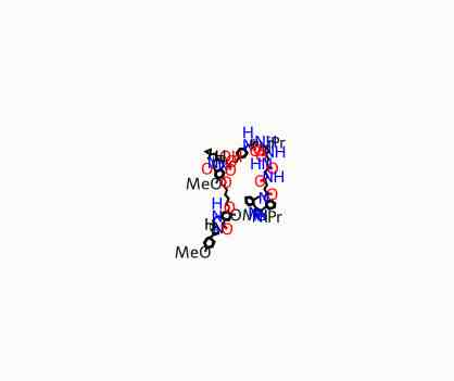 COc1ccc(C2=CN3C(=O)c4cc(OC)c(OCCCCCOc5cc6c(cc5OC)C(=O)N5CC7(CC7)C[C@H]5[C@H](O)N6C(=O)OCc5ccc(NC(=O)[C@H](C)NC(=O)[C@@H](NC(=O)CNC(=O)CNC(=O)CCC(=O)N6Cc7ccccc7-c7nnn(C(C)C)c7-c7ccccc76)C(C)C)cc5)cc4NC[C@@H]3C2)cc1